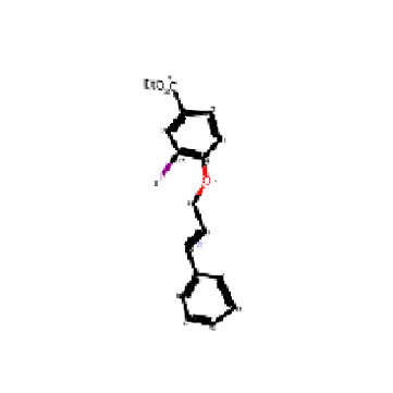 CCOC(=O)c1ccc(OC/C=C/c2ccccc2)c(I)c1